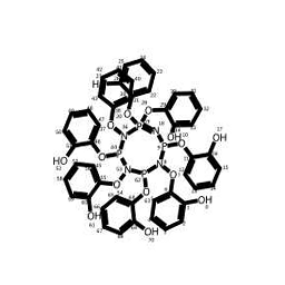 Oc1ccccc1ON1P(Oc2ccccc2O)N=P(Oc2ccccc2O)(Oc2ccccc2O)N(Oc2ccccc2)P(Oc2ccccc2O)N(Oc2ccccc2O)P1Oc1ccccc1O